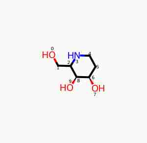 OCC1NCC[C@@H](O)[C@H]1O